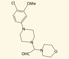 COc1cc(N2CCN(C(C=O)N3CCOCC3)CC2)ccc1Cl